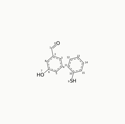 O=Cc1cccc(O)c1.Sc1ccccc1